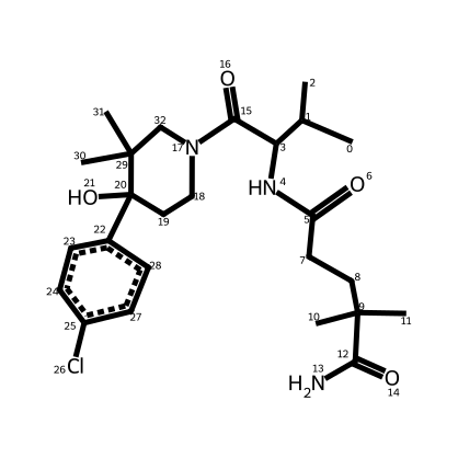 CC(C)C(NC(=O)CCC(C)(C)C(N)=O)C(=O)N1CCC(O)(c2ccc(Cl)cc2)C(C)(C)C1